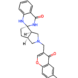 Cc1ccc2occ(CN3C[C@H]4CC[C@]5(NC(=O)c6ccccc6N5)[C@H]4C3)c(=O)c2c1